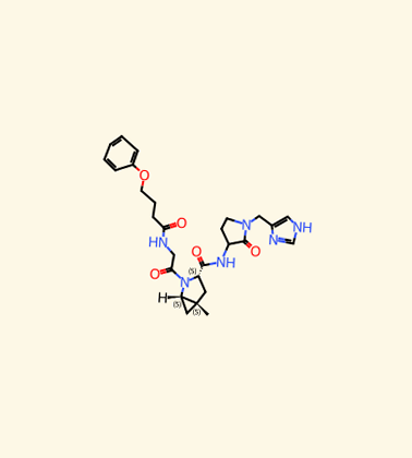 C[C@@]12C[C@@H]1N(C(=O)CNC(=O)CCCOc1ccccc1)[C@H](C(=O)NC1CCN(Cc3c[nH]cn3)C1=O)C2